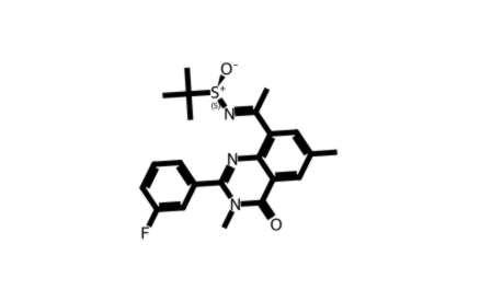 CC(=N[S@+]([O-])C(C)(C)C)c1cc(C)cc2c(=O)n(C)c(-c3cccc(F)c3)nc12